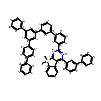 C[Si]1(C)c2ccccc2-c2c(-c3cccc(-c4ccccc4)c3)nc(-c3cccc(-c4cccc(-c5cc(-c6ccccc6)cc(-c6ccc(-c7ccccc7)cc6)c5)c4)c3)nc21